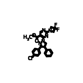 COC(=O)c1cnc(N2CC(F)(F)C2)nc1N1CC(c2ccccc2)C(c2ccc(Cl)cc2)=N1